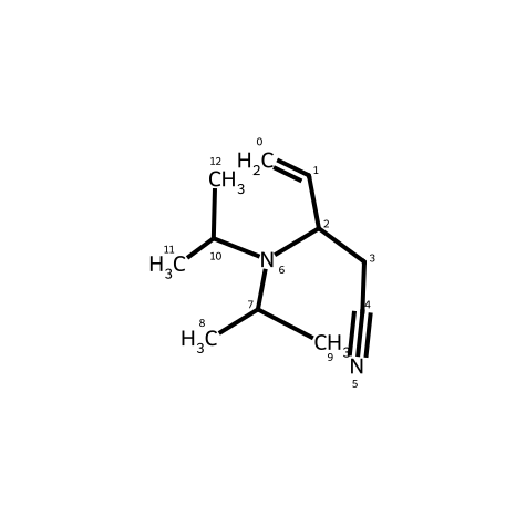 C=CC(CC#N)N(C(C)C)C(C)C